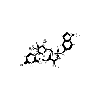 CCCOC(=O)C(C)NP(=O)(OC[C@H]1O[C@@H](n2ccc(=O)[nH]c2=O)[C@](C)(F)[C@@H]1O)Oc1ccc2c(ccn2C)c1